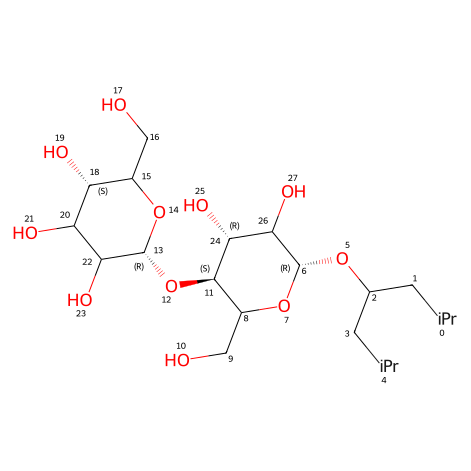 CC(C)CC(CC(C)C)O[C@@H]1OC(CO)[C@@H](O[C@H]2OC(CO)[C@@H](O)C(O)C2O)[C@H](O)C1O